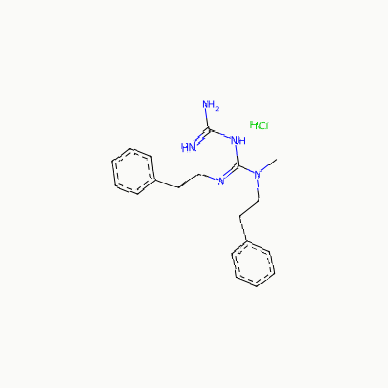 CN(CCc1ccccc1)C(=NCCc1ccccc1)NC(=N)N.Cl